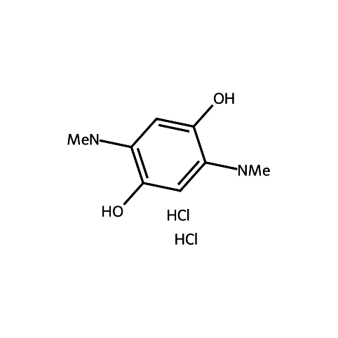 CNc1cc(O)c(NC)cc1O.Cl.Cl